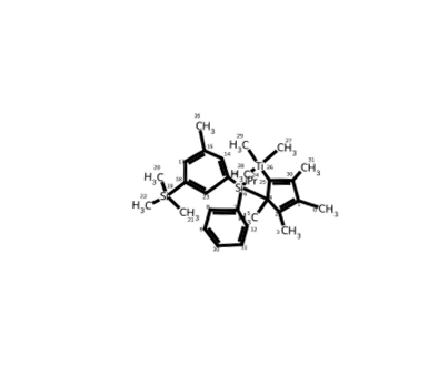 CC1=C(C)C(C)([Si](c2ccccc2)(c2cc(C)cc([Si](C)(C)C)c2)C(C)C)[C]([Ti]([CH3])([CH3])[CH3])=C1C